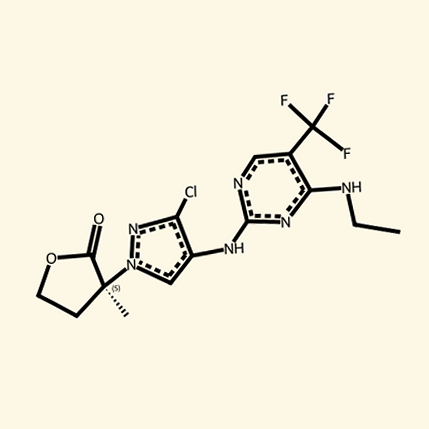 CCNc1nc(Nc2cn([C@@]3(C)CCOC3=O)nc2Cl)ncc1C(F)(F)F